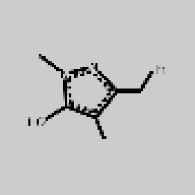 Cc1c(CC(C)C)nn(C)c1O